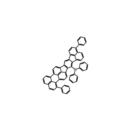 c1ccc(-c2ccc3c4cc5c6ccc7c8cccc9ccc(-c%10ccccc%10)c(c%10ccc(c5c(N(c5ccccc5)c5ccccc5)c4c4cccc2c34)c6c7%10)c98)cc1